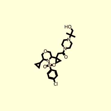 CC(C)(CO)N1CCN(C(=O)CC2(C3COCC(C4CC4)N3S(=O)(=O)c3ccc(Cl)cc3)CC2)CC1